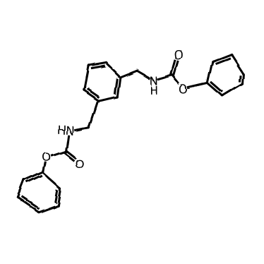 O=C(NCc1cccc(CNC(=O)Oc2ccccc2)c1)Oc1ccccc1